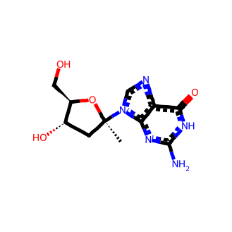 C[C@]1(n2cnc3c(=O)[nH]c(N)nc32)C[C@H](O)[C@@H](CO)O1